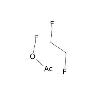 CC(=O)OF.FCCF